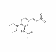 CCN(CC)c1ccc(C=C[N+](=O)[O-])cc1NC(C)=O